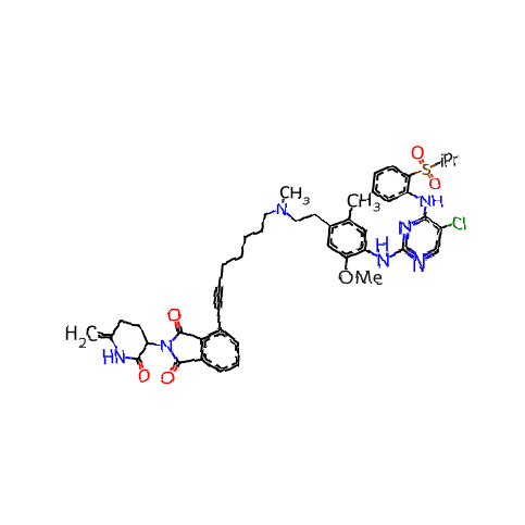 C=C1CCC(N2C(=O)c3cccc(C#CCCCCCN(C)CCc4cc(OC)c(Nc5ncc(Cl)c(Nc6ccccc6S(=O)(=O)C(C)C)n5)cc4C)c3C2=O)C(=O)N1